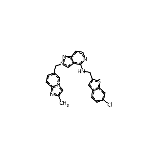 Cc1cn2cc(Cn3cc4c(NCc5cc6ccc(Cl)cc6s5)nccc4n3)ccc2n1